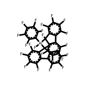 Fc1c(F)c(F)[c]([Al-]([F])([C]2(F)c3c(F)c(F)c(F)c(F)c3-c3c(F)c(F)c(F)c(F)c32)[C]2(F)c3c(F)c(F)c(F)c(F)c3-c3c(F)c(F)c(F)c(F)c32)c(F)c1F